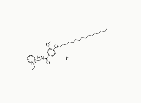 CCCCCCCCCCCCCCCCOc1ccc(C(=O)NCc2cccc[n+]2CC)cc1OC.[I-]